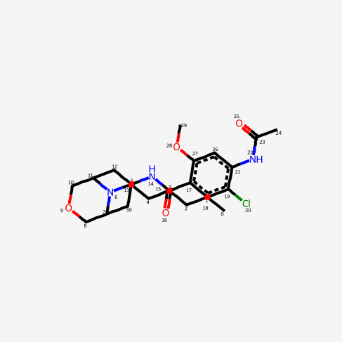 CCCCCCN1C2COCC1CC(NC(=O)c1cc(Cl)c(NC(C)=O)cc1OC)C2